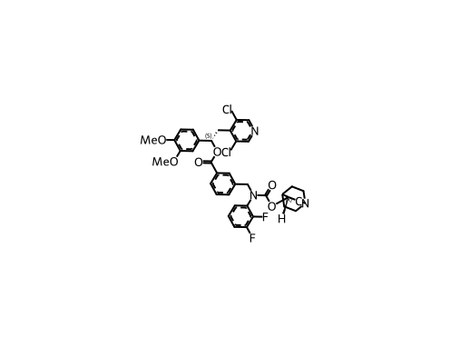 COc1ccc([C@H](Cc2c(Cl)cncc2Cl)OC(=O)c2cccc(CN(C(=O)O[C@H]3CN4CCC3CC4)c3cccc(F)c3F)c2)cc1OC